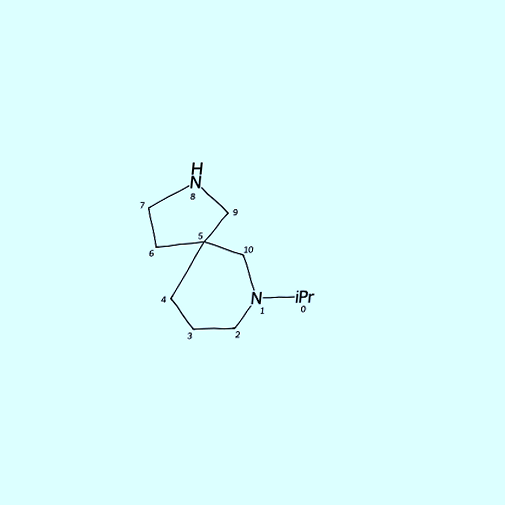 CC(C)N1CCCC2(CCNC2)C1